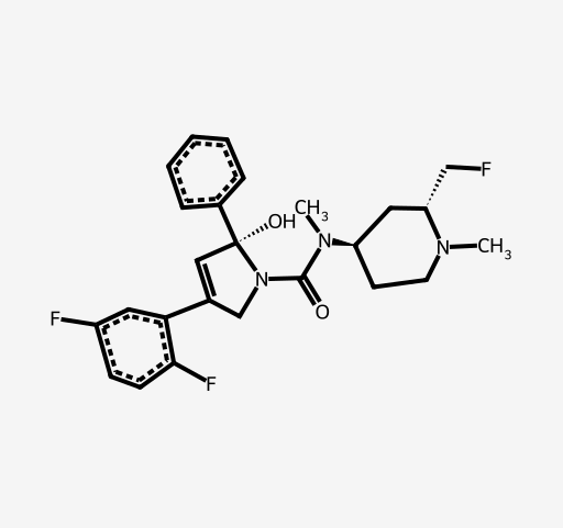 CN1CC[C@@H](N(C)C(=O)N2CC(c3cc(F)ccc3F)=C[C@@]2(O)c2ccccc2)C[C@@H]1CF